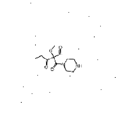 CCC(=O)C([C]=O)(OC)C(=O)N1CCNCC1